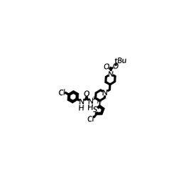 CC(C)(C)OC(=O)N1CCC(CN2CC[C@@H](NC(=O)Nc3ccc(Cl)cc3)[C@H](c3ccc(Cl)s3)C2)CC1